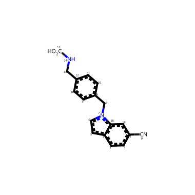 N#Cc1ccc2ccn(Cc3ccc(CNC(=O)O)cc3)c2c1